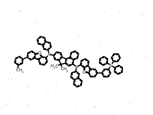 Cc1cccc(-c2ccc3oc4c(N(c5ccc6c(c5)C(C)(C)c5cc(N(c7ccc8ccccc8c7)c7cccc8c7oc7ccc(-c9cccc([Si](c%10ccccc%10)(c%10ccccc%10)c%10ccccc%10)c9)cc78)c7ccccc7c5-6)c5ccc6ccccc6c5)cccc4c3c2)c1